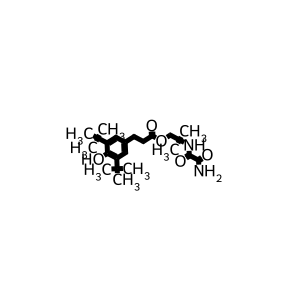 CC(C)(COC(=O)CCc1cc(C(C)(C)C)c(O)c(C(C)(C)C)c1)NC(=O)C(N)=O